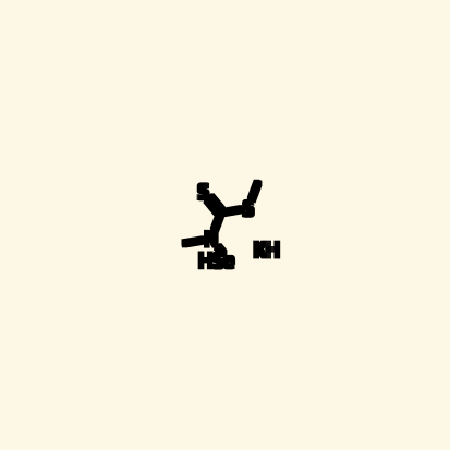 CSC(=S)N(C)[SeH].[KH]